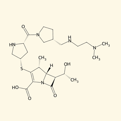 C[C@@H](O)[C@H]1C(=O)N2C(C(=O)O)=C(S[C@@H]3CN[C@H](C(=O)N4CC[C@H](CNCCN(C)C)C4)C3)[C@H](C)[C@H]12